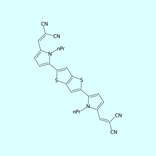 CCCn1c(C=C(C#N)C#N)ccc1-c1cc2sc(-c3ccc(C=C(C#N)C#N)n3CCC)cc2s1